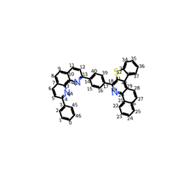 c1ccc(-c2ccc3ccc4ccc(-c5ccc(-c6nc7c8ccccc8ccc7c7c6sc6ccccc67)cc5)nc4c3n2)cc1